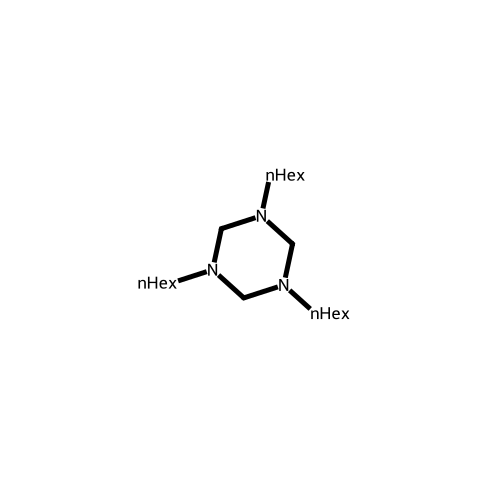 CCCCCCN1CN(CCCCCC)CN(CCCCCC)C1